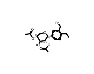 CCc1ccc([C@@H]2OC[C@@H](OC(C)=O)[C@H](O)[C@H]2OC(C)=O)cc1CBr